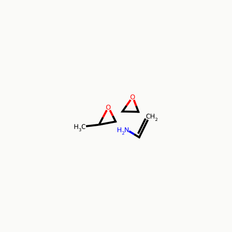 C1CO1.C=CN.CC1CO1